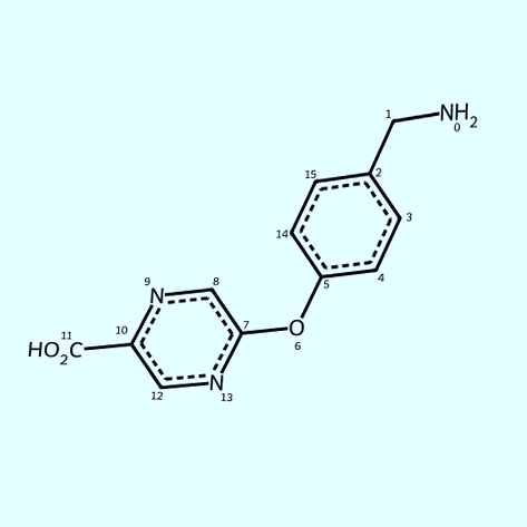 NCc1ccc(Oc2cnc(C(=O)O)cn2)cc1